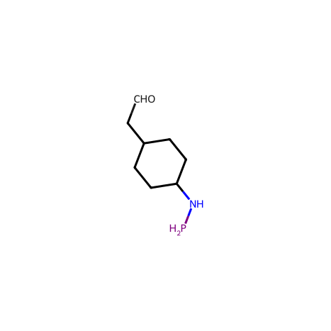 O=CCC1CCC(NP)CC1